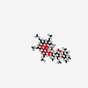 CC(=O)OCC1OC(S)C(OC(C)=O)C(OC(C)=O)C1OC1OC(COC(C)=O)C(OC2OC(COC(C)=O)C(OC3OC(COC(C)=O)C(OC4OC(COC(C)=O)C(OC5OC(COC(C)=O)C(OC6OC(COC(C)=O)C(OC(C)=O)C(OC(C)=O)C6OC(C)=O)C(OC(C)=O)C5OC(C)=O)C(OC(C)=O)C4OC(C)=O)C(OC(C)=O)C3OC(C)=O)C(OC(C)=O)C2OC(C)=O)C(OC(C)=O)C1OC(C)=O